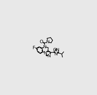 CC(C)c1noc(-c2ncn3c2CN(C(=O)N2CCCC2)c2cc(F)ccc2-3)n1